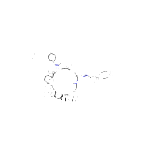 CO[C@H]1C[C@@H](C)C/C(C)=C/[C@@H](C/C=C/CCC(=O)N2CCNCC2)C(=O)C[C@H](O)[C@@H](C)[C@@H](/C(C)=C/[C@@H]2CC[C@@H](O)[C@H](OC)C2)OC(=O)[C@@H]2CCCCN2C(=O)C(=O)[C@]2(O)O[C@H]1[C@@H](OC)C[C@H]2C